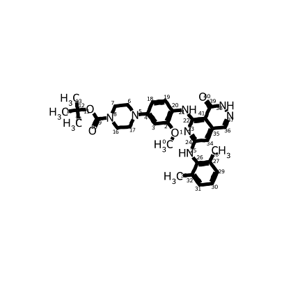 COc1cc(N2CCN(C(=O)OC(C)(C)C)CC2)ccc1Nc1nc(Nc2c(C)cccc2C)cc2cn[nH]c(=O)c12